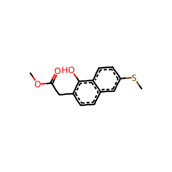 COC(=O)Cc1ccc2cc(SC)ccc2c1O